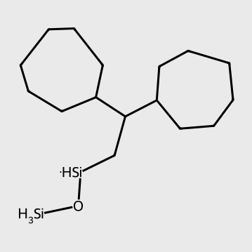 [SiH3]O[SiH]CC(C1CCCCCC1)C1CCCCCC1